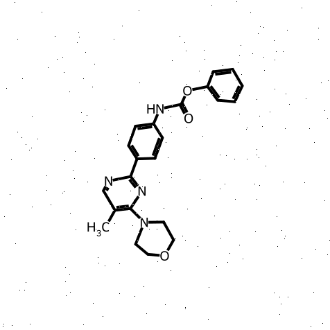 Cc1cnc(-c2ccc(NC(=O)Oc3ccccc3)cc2)nc1N1CCOCC1